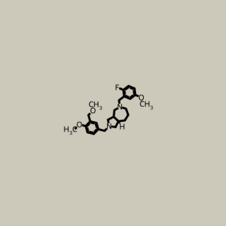 COCc1cc(CN2CC3CN(Cc4cc(OC)ccc4F)CCC[C@@H]3C2)ccc1OC